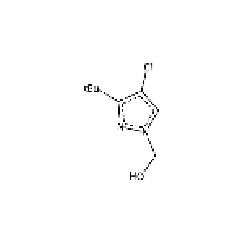 CC(C)(C)c1nn(CO)cc1Cl